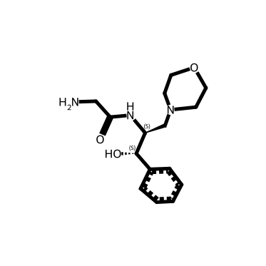 NCC(=O)N[C@@H](CN1CCOCC1)[C@@H](O)c1ccccc1